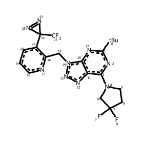 CC(C)(C)c1nc(N2CCC(F)(F)C2)c2nnn(Cc3ncccc3C3(C(F)(F)F)N=N3)c2n1